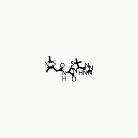 Cc1nc(C)c(CC(=O)NC2C(=O)N3C2SC(C)(C)C3c2nnn[nH]2)s1